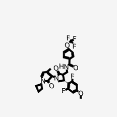 COc1cc(F)c([C@@H]2CN(c3c(C)ccn(C4CCC4)c3=O)C(=O)C2CNC(=O)c2ccc(OC(F)(F)F)cc2)c(F)c1